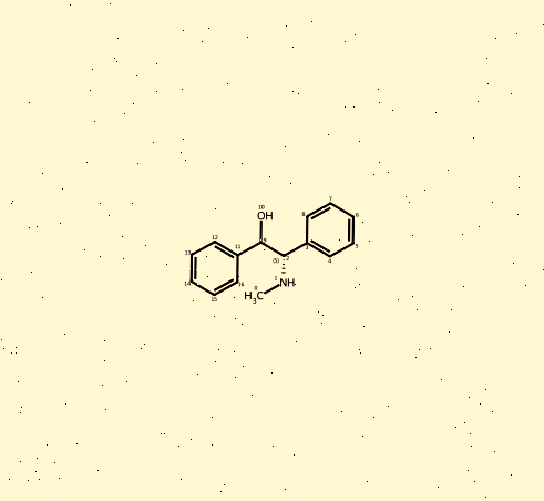 CN[C@@H](c1ccccc1)C(O)c1ccccc1